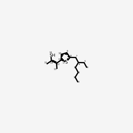 CCCCC(CC)Cc1ccc(/C(C)=C(/C)S)s1